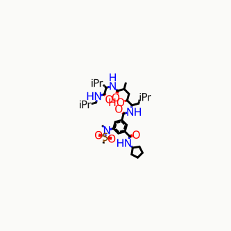 CC(C)CNC(=O)C(NC(=O)C(C)CC(O)C(CC(C)C)NC(=O)c1cc(C(=O)NC2CCCC2)cc(N(C)S(C)(=O)=O)c1)C(C)C